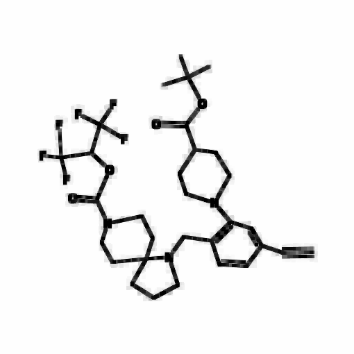 C#Cc1ccc(CN2CCCC23CCN(C(=O)OC(C(F)(F)F)C(F)(F)F)CC3)c(N2CCC(C(=O)OC(C)(C)C)CC2)c1